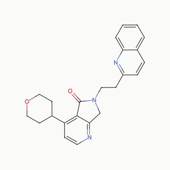 O=C1c2c(C3CCOCC3)ccnc2CN1CCc1ccc2ccccc2n1